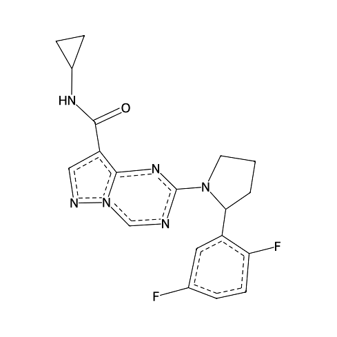 O=C(NC1CC1)c1cnn2cnc(N3CCCC3c3cc(F)ccc3F)nc12